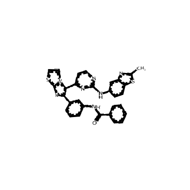 Cc1nc2cc(Nc3nccc(-c4c(-c5cccc(NC(=O)c6ccccc6)c5)nc5sccn45)n3)ccc2s1